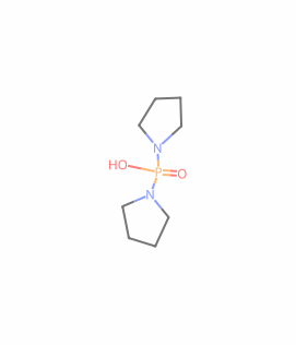 O=P(O)(N1CCCC1)N1CCCC1